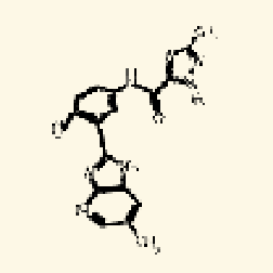 Cc1cnc2nc(-c3cc(NC(=O)c4nc(C)n[nH]4)ccc3Cl)[nH]c2c1